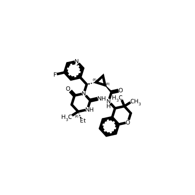 CC[C@]1(C)CC(=O)N(C(c2cncc(F)c2)[C@@H]2C[C@H]2C(=O)NC2c3ccccc3OCC2(C)C)C(=N)N1